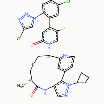 C[C@@H]1CCC[C@H](n2cc(F)c(-c3cc(Cl)ccc3-n3cc(Cl)nn3)cc2=O)c2cc(ccn2)-c2c(cnn2C2CCC2)NC1=O